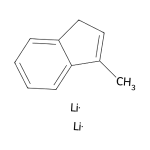 CC1=CCc2ccccc21.[Li].[Li]